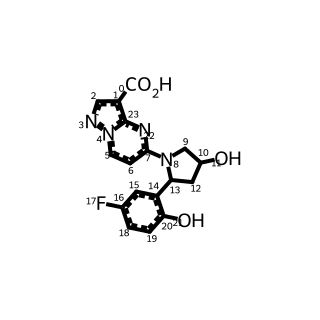 O=C(O)c1cnn2ccc(N3CC(O)CC3c3cc(F)ccc3O)nc12